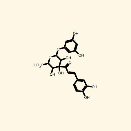 O=C(O)C1OC(Oc2cc(O)cc(O)c2)C(O)C(O)(C(=O)C=Cc2ccc(O)c(O)c2)C1O